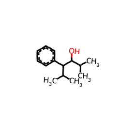 CC(C)C(O)C(c1ccccc1)C(C)C